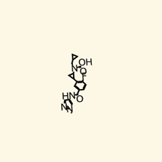 Cn1cc(NC(=O)c2ccc(F)c(C3CC3N(CC3CC3)C(=O)O)c2)cn1